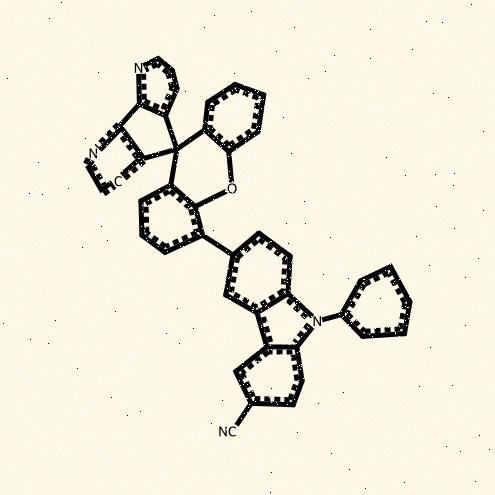 N#Cc1ccc2c(c1)c1cc(-c3cccc4c3Oc3ccccc3C43c4cccnc4-c4ncccc43)ccc1n2-c1ccccc1